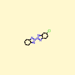 Clc1ccc2nn(-n3nc4ccccc4n3)nc2c1